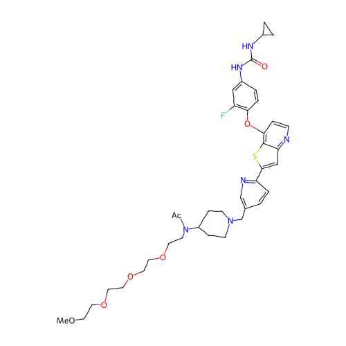 COCCOCCOCCOCCN(C(C)=O)C1CCN(Cc2ccc(-c3cc4nccc(Oc5ccc(NC(=O)NC6CC6)cc5F)c4s3)nc2)CC1